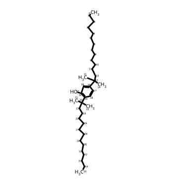 CCCCCCCCCCCCCC(C)(C)c1ccc(C(C)(C)CCCCCCCCCCCCC)c(O)c1